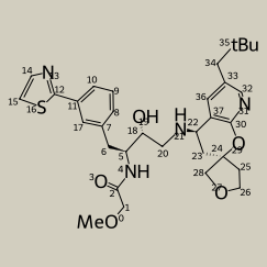 COCC(=O)N[C@@H](Cc1cccc(-c2nccs2)c1)[C@H](O)CN[C@@H]1C[C@@]2(CCOC2)Oc2ncc(CC(C)(C)C)cc21